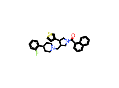 O=C(c1cccc2ccccc12)N1CC(CN2CCC(c3ccccc3F)CC2)C(c2ccsc2)C1